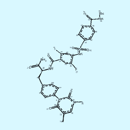 BC(=O)[C@H](Cc1ccc(-n2c(=O)c(C)cn(C)c2=O)cc1)NC(=O)c1cc(F)c(NS(=O)(=O)c2ccc(C(=O)NC(C)(C)C)cc2)cc1F